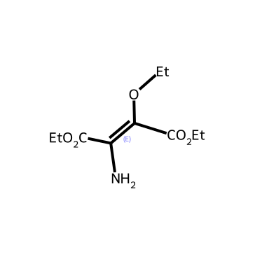 CCOC(=O)/C(N)=C(\OCC)C(=O)OCC